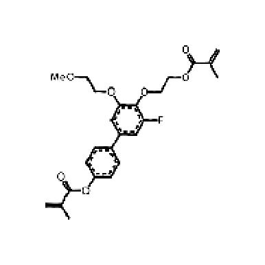 C=C(C)C(=O)OCCOc1c(F)cc(-c2ccc(OC(=O)C(=C)C)cc2)cc1OCCOC